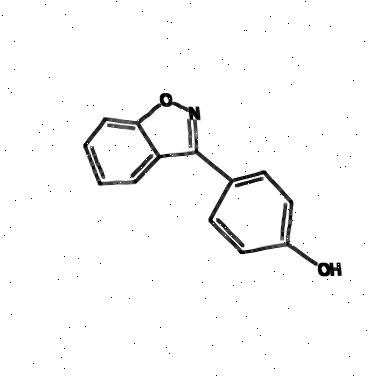 Oc1ccc(-c2noc3ccccc23)cc1